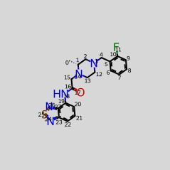 C[C@@H]1CN(Cc2ccccc2F)CCN1CC(=O)Nc1cccc2nsnc12